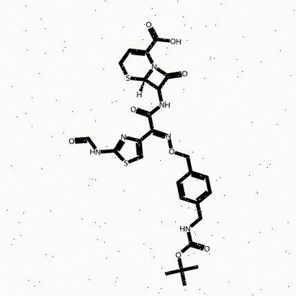 CC(C)(C)OC(=O)NCc1ccc(CON=C(C(=O)NC2C(=O)N3C(C(=O)O)=CCS[C@@H]23)c2csc(NC=O)n2)cc1